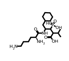 CC(C)C(C(=O)O)C(C(CC1CCCCC1)NC(=O)[C@@H](N)CCCCN)P(=O)(O)O